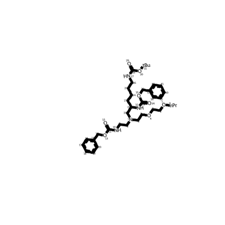 CCCOCCOCCN(CCNC(=O)OCc1ccccc1)CC(CCCCNC(=O)OC(C)(C)C)NC(=O)OCc1ccccc1